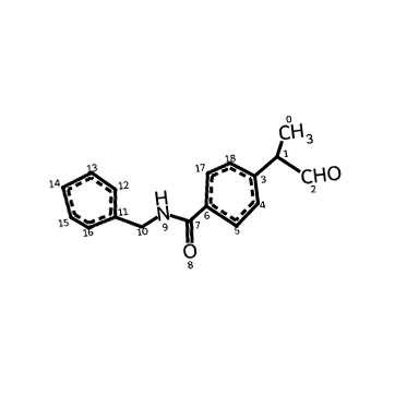 CC(C=O)c1ccc(C(=O)NCc2ccccc2)cc1